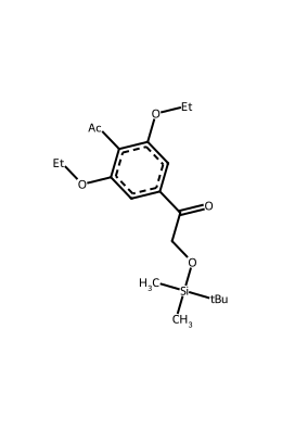 CCOc1cc(C(=O)CO[Si](C)(C)C(C)(C)C)cc(OCC)c1C(C)=O